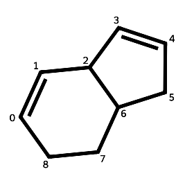 C1=CC2C=CCC2CC1